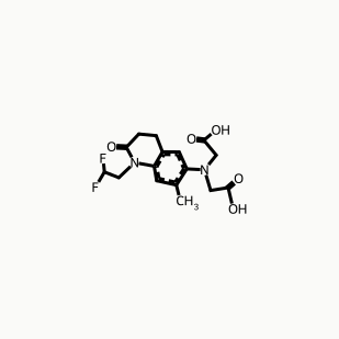 Cc1cc2c(cc1N(CC(=O)O)CC(=O)O)CCC(=O)N2CC(F)F